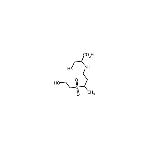 CC(CCNC(CS)C(=O)O)S(=O)(=O)CCO